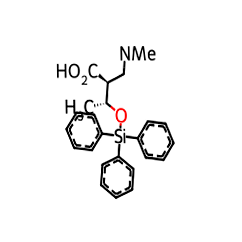 CNC[C@H](C(=O)O)[C@@H](C)O[Si](c1ccccc1)(c1ccccc1)c1ccccc1